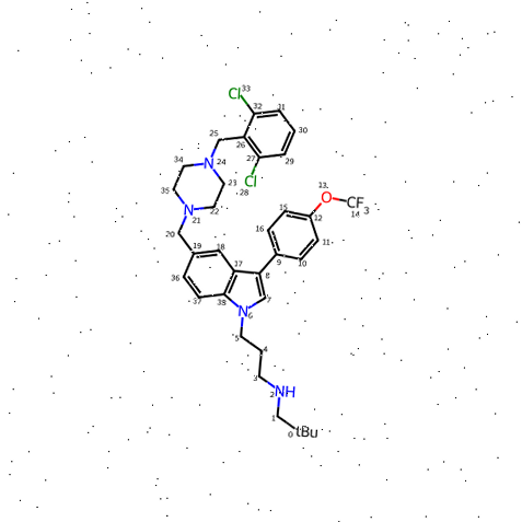 CC(C)(C)CNCCCn1cc(-c2ccc(OC(F)(F)F)cc2)c2cc(CN3CCN(Cc4c(Cl)cccc4Cl)CC3)ccc21